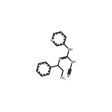 CCC(N=C(NC#N)Nc1cccnc1)c1ccccc1